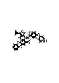 O=c1c(Oc2ccccc2F)cc2cnc(Nc3ccc(OC4CCNCC4)cc3)nc2n1Cc1cnsc1C1CC1